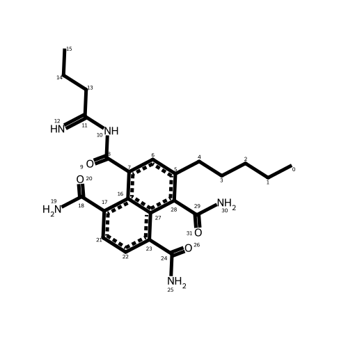 CCCCCc1cc(C(=O)NC(=N)CCC)c2c(C(N)=O)ccc(C(N)=O)c2c1C(N)=O